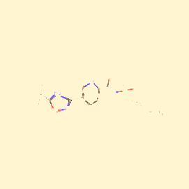 COCCS(C)(=O)=NC(=O)c1ccc(-c2noc(C(F)(F)F)n2)cn1